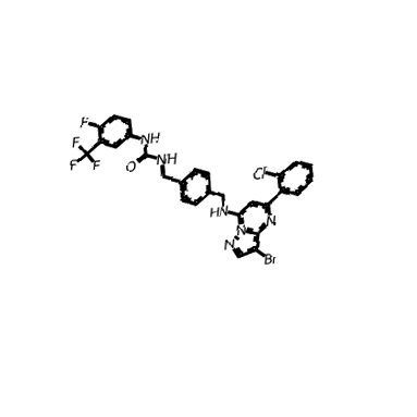 O=C(NCc1ccc(CNc2cc(-c3ccccc3Cl)nc3c(Br)cnn23)cc1)Nc1ccc(F)c(C(F)(F)F)c1